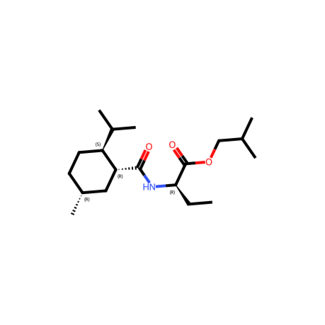 CC[C@@H](NC(=O)[C@@H]1C[C@H](C)CC[C@H]1C(C)C)C(=O)OCC(C)C